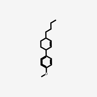 CCCCC1C=CC(C2=C=C=C(OC)C=C2)CC1